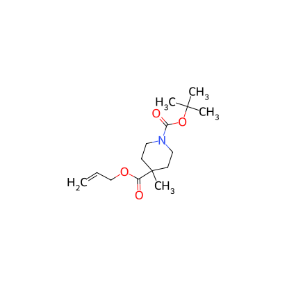 C=CCOC(=O)C1(C)CCN(C(=O)OC(C)(C)C)CC1